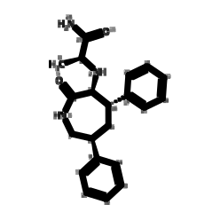 C[C@H](N[C@@H]1C(=O)NC[C@H](c2ccccc2)C[C@H]1c1ccccc1)C(N)=O